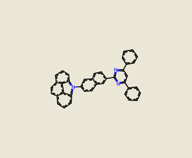 c1ccc(-c2cc(-c3ccccc3)nc(-c3ccc4cc(-n5c6cccc7ccc8cccc5c8c76)ccc4c3)n2)cc1